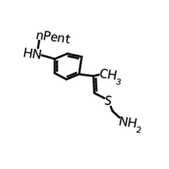 CCCCCNc1ccc(/C(C)=C/SCN)cc1